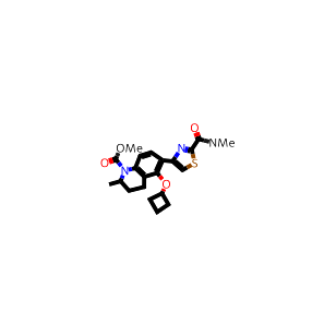 CNC(=O)c1nc(-c2ccc3c(c2OC2CCC2)CCC(C)N3C(=O)OC)cs1